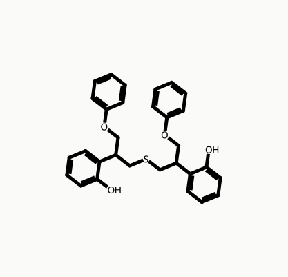 Oc1ccccc1C(COc1ccccc1)CSCC(COc1ccccc1)c1ccccc1O